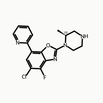 C[C@H]1CNCCN1c1nc2c(F)c(Cl)cc(-c3ccccn3)c2o1